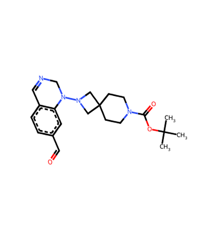 CC(C)(C)OC(=O)N1CCC2(CC1)CN(N1CN=Cc3ccc(C=O)cc31)C2